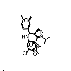 C=C/C=C(\C=C/C(C)Cl)C(Nc1cc(Cl)c(=O)n(C)c1)c1cnn(C(C)C)c1C(=O)OCC